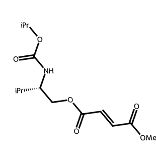 COC(=O)/C=C/C(=O)OC[C@@H](NC(=O)OC(C)C)C(C)C